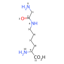 NCC(=O)NCCCCC(N)C(=O)O